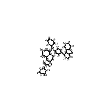 c1ccc(-c2nc3c(ccc4c(N(c5ccccc5)c5ccc(-c6cccc7sc8ccccc8c67)cc5)cccc43)o2)cc1